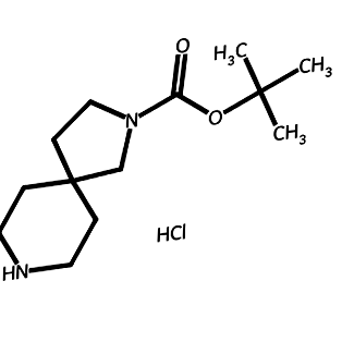 CC(C)(C)OC(=O)N1CCC2(CCNCC2)C1.Cl